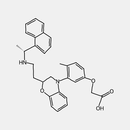 Cc1ccc(OCC(=O)O)cc1N1CC(CCN[C@H](C)c2cccc3ccccc23)Oc2ccccc21